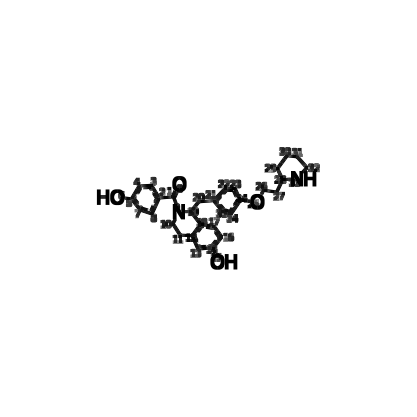 O=C(c1ccc(O)cc1)N1CCc2cc(O)ccc2C1Cc1ccc(OCCC2CCCCN2)cc1